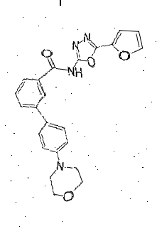 O=C(Nc1nnc(-c2ccco2)o1)c1cccc(-c2ccc(N3CCOCC3)cc2)c1